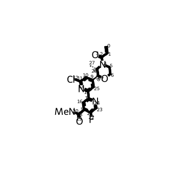 C=CC(=O)N1CCO[C@@H](c2cc(Cl)nc(-c3cc(C(=O)NC)c(F)cn3)c2)[C@@H]1C